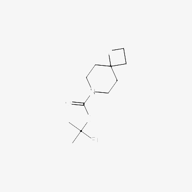 CCC(C)(C)OC(=O)N1CCC2(CCO2)CC1